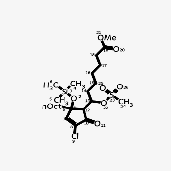 CCCCCCCCC1(O[Si](C)(C)C)C=C(Cl)C(=O)C1C(CCCCCC(=O)OC)OS(C)(=O)=O